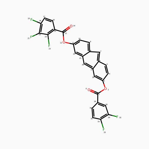 O=C(Oc1ccc2cc3ccc(OC(=O)c4ccc(F)c(F)c4F)cc3cc2c1)c1ccc(F)c(F)c1